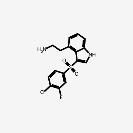 NCCc1cccc2[nH]cc(S(=O)(=O)c3ccc(Cl)c(F)c3)c12